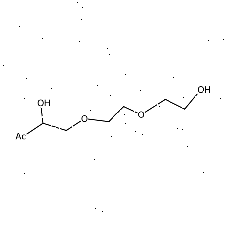 CC(=O)C(O)COCCOCCO